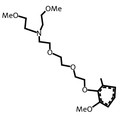 COCCN(CCOC)CCOCCOCCOc1c(C)cccc1OC